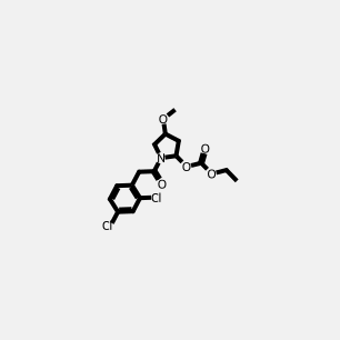 CCOC(=O)OC1CC(OC)CN1C(=O)Cc1ccc(Cl)cc1Cl